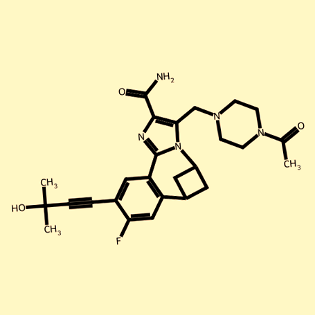 CC(=O)N1CCN(Cc2c(C(N)=O)nc3n2C2CC(C2)c2cc(F)c(C#CC(C)(C)O)cc2-3)CC1